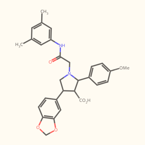 COc1ccc(C2C(C(=O)O)C(c3ccc4c(c3)OCO4)CN2CC(=O)Nc2cc(C)cc(C)c2)cc1